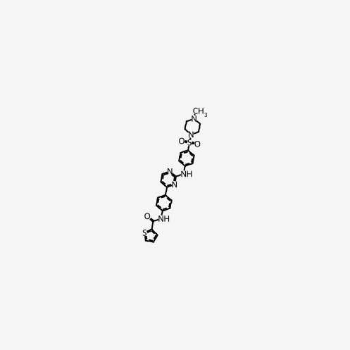 CN1CCN(S(=O)(=O)c2ccc(Nc3nccc(-c4ccc(NC(=O)c5cccs5)cc4)n3)cc2)CC1